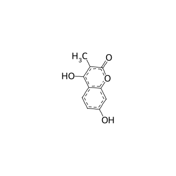 Cc1c(O)c2ccc(O)cc2oc1=O